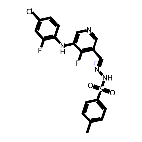 Cc1ccc(S(=O)(=O)N/N=C/c2cncc(Nc3ccc(Cl)cc3F)c2F)cc1